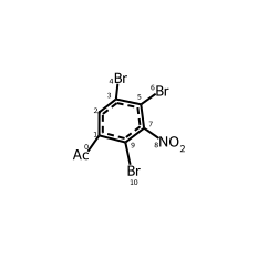 CC(=O)c1cc(Br)c(Br)c([N+](=O)[O-])c1Br